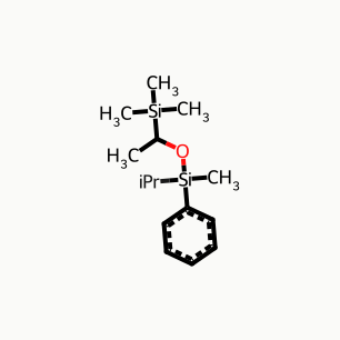 CC(O[Si](C)(c1ccccc1)C(C)C)[Si](C)(C)C